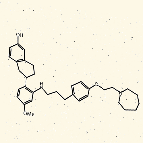 COc1ccc([C@H]2CCc3cc(O)ccc3C2)c(NCCCc2ccc(OCCN3CCCCCC3)cc2)c1